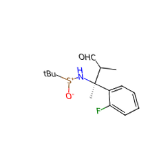 CC(C=O)[C@](C)(N[S+]([O-])C(C)(C)C)c1ccccc1F